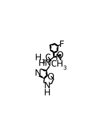 CC(C)(NCc1cncc2c1OCCNC2)c1noc2c(F)cccc12